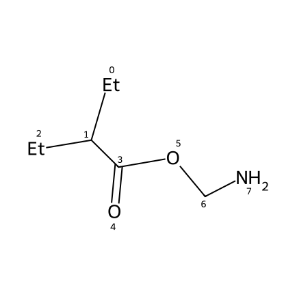 CCC(CC)C(=O)OCN